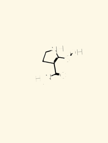 NC(=O)C1=C(SO)NCC1